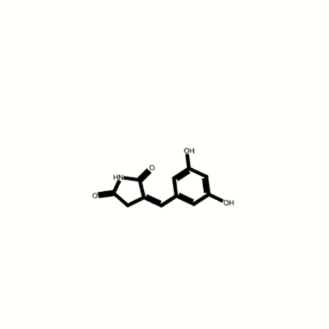 O=C1CC(=Cc2cc(O)cc(O)c2)C(=O)N1